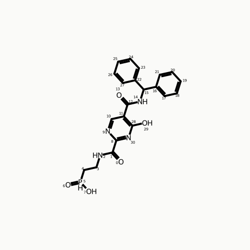 O=C(NCC[PH](=O)O)c1ncc(C(=O)NC(c2ccccc2)c2ccccc2)c(O)n1